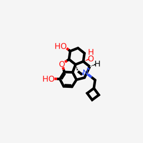 OC1=C2OC3C(O)CC[C@@]4(O)[C@H]5CC(C=C1)C2[C@@]34CCN5CC1CCC1